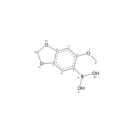 COc1cc2c(cc1B(O)O)OCO2